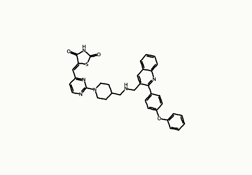 O=C1NC(=O)C(=Cc2ccnc(N3CCC(CNCc4cc5ccccc5nc4-c4ccc(Oc5ccccc5)cc4)CC3)n2)S1